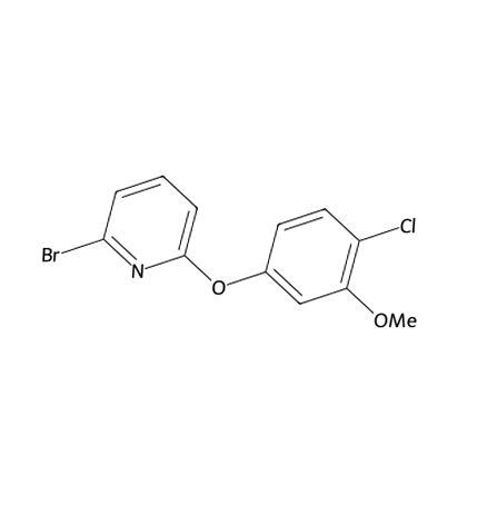 COc1cc(Oc2cccc(Br)n2)ccc1Cl